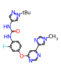 Cn1cnc(-c2cc(Oc3ccc(NC(=O)Nc4cnn(C(C)(C)C)c4)c(F)c3)ncn2)c1